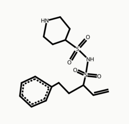 C=CC(CCc1ccccc1)S(=O)(=O)NS(=O)(=O)C1CCNCC1